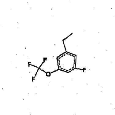 CCc1cc(F)cc(OC(F)(F)F)c1